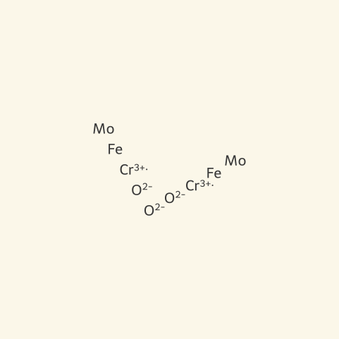 [Cr+3].[Cr+3].[Fe].[Fe].[Mo].[Mo].[O-2].[O-2].[O-2]